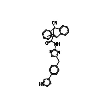 CC1(C(=O)Nc2nc(Cc3ccc(-c4cc[nH]c4)cc3)cs2)CC2(C#N)c3ccccc3C1c1ccccc12